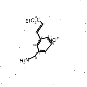 CCOC(=O)C=Cc1cccc(CN)c1.Cl